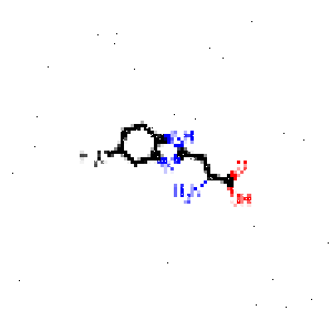 CC1CCc2[nH]c(C[C@@H](N)C(=O)O)nc2C1